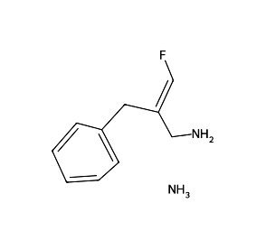 N.NC/C(=C/F)Cc1ccccc1